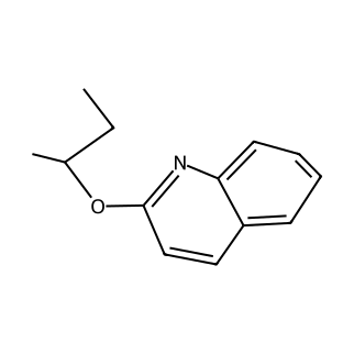 CCC(C)Oc1ccc2ccccc2n1